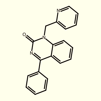 O=c1nc(-c2ccccc2)c2ccccc2n1Cc1ccccn1